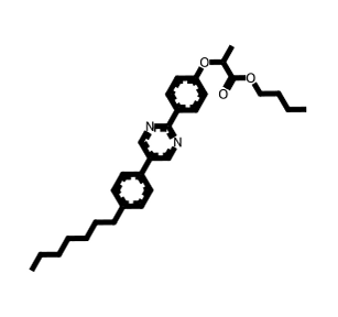 CCCCCCCc1ccc(-c2cnc(-c3ccc(OC(C)C(=O)OCCCC)cc3)nc2)cc1